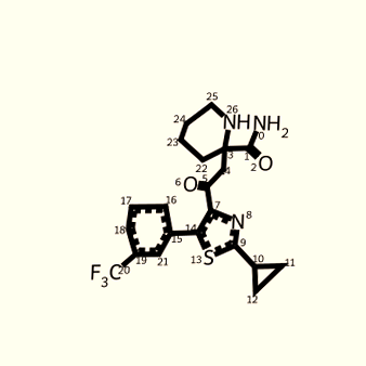 NC(=O)C1([CH]C(=O)c2nc(C3CC3)sc2-c2cccc(C(F)(F)F)c2)CCCCN1